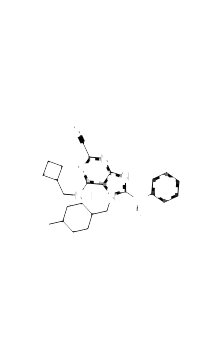 CC1CCC(Cn2c([S+]([O-])c3ccccc3)nc3nc(C#N)nc(N[C@H](C)C4CCC4)c32)CC1